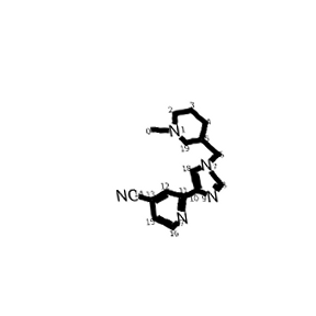 CN1CCCC(Cn2cnc(-c3cc(C#N)ccn3)c2)C1